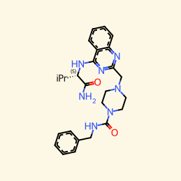 CC(C)[C@H](Nc1nc(CN2CCN(C(=O)NCc3ccccc3)CC2)nc2ccccc12)C(N)=O